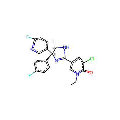 CCn1cc(C2=N[C@](c3ccc(F)cc3)(c3ccc(F)nc3)[C@H](C)N2)cc(Cl)c1=O